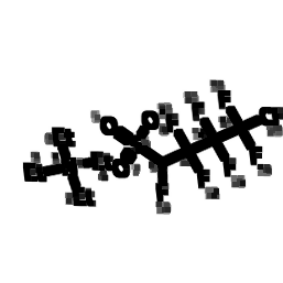 CC[N+](CC)(CC)CC.O=S(=O)([O-])C(F)C(F)(F)C(F)(F)C(F)(F)C(F)(F)F